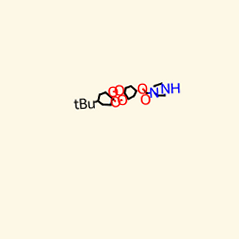 CC(C)(C)C1CCC2(CC1)OOC1(CCC(OC(=O)N3CCNCC3)CC1)OO2